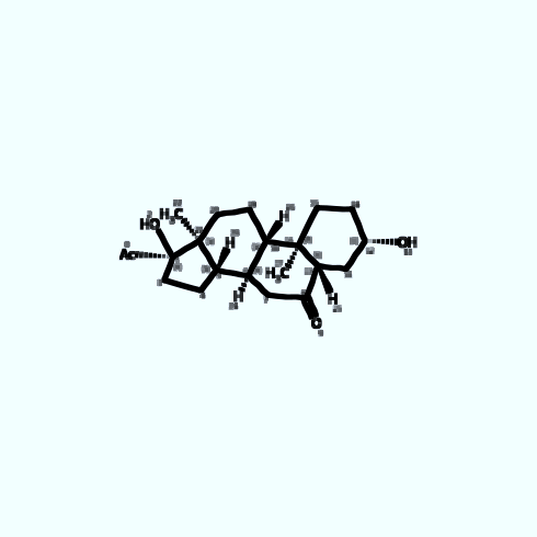 CC(=O)[C@@]1(O)CC[C@H]2[C@@H]3CC(=O)[C@H]4C[C@@H](O)CC[C@]4(C)[C@H]3CC[C@@]21C